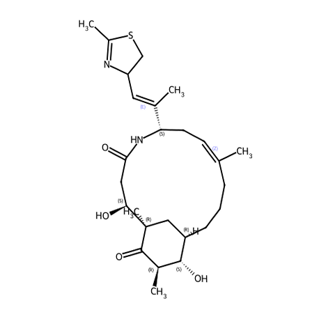 CC1=NC(/C=C(\C)[C@@H]2C/C=C(/C)CCC[C@@H]3C[C@@](C)(C(=O)[C@H](C)[C@H]3O)[C@@H](O)CC(=O)N2)CS1